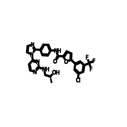 C[C@H](O)CNc1nccc(-n2ccnc2-c2ccc(NC(=O)c3ccc(-c4cc(Cl)cc(C(F)(F)F)c4)o3)cc2)n1